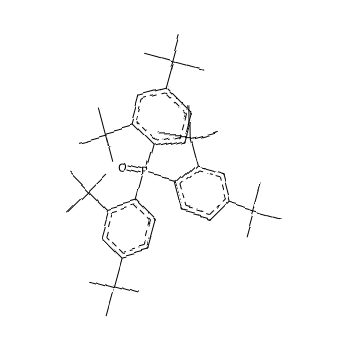 CC(C)(C)c1ccc(P(=O)(c2ccc(C(C)(C)C)cc2C(C)(C)C)c2ccc(C(C)(C)C)cc2C(C)(C)C)c(C(C)(C)C)c1